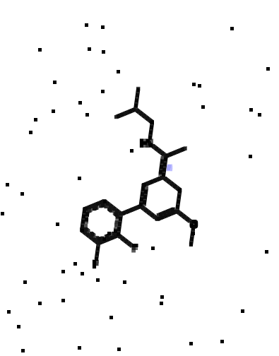 COC1=CC(c2cccc(F)c2F)=C/C(=C(/C)NCC(C)C)C1